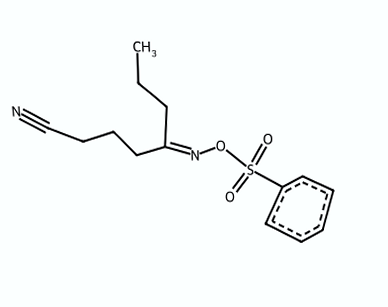 CCC/C(CCCC#N)=N\OS(=O)(=O)c1ccccc1